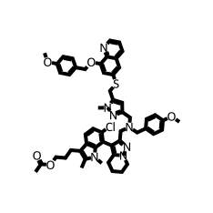 COc1ccc(COc2cc(SCc3cc(CN(Cc4ccc(OC)cc4)Cc4nn5c(c4-c4c(Cl)ccc6c(CCCOC(C)=O)c(C)n(C)c46)CCCC5)nn3C)cc3cccnc23)cc1